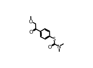 COCC(=O)c1ccc(SC(=O)N(C)C)cc1